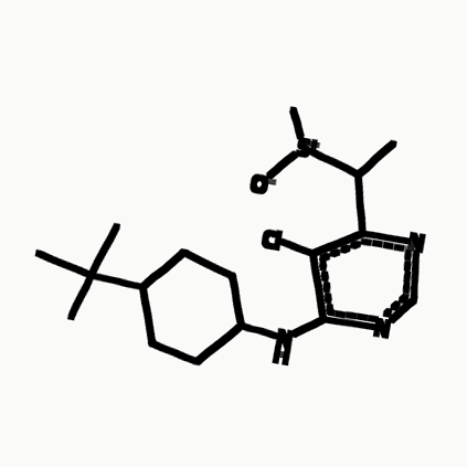 CC(c1ncnc(NC2CCC(C(C)(C)C)CC2)c1Cl)[S+](C)[O-]